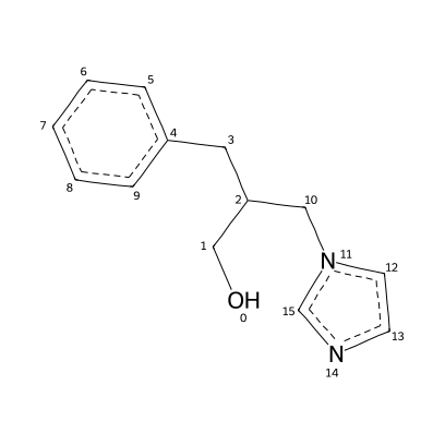 OCC(Cc1ccccc1)Cn1ccnc1